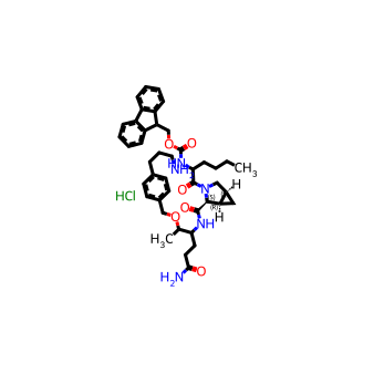 CCCCC(NC(=O)OCC1c2ccccc2-c2ccccc21)C(=O)N1C[C@H]2C[C@H]2[C@H]1C(=O)NC(CCC(N)=O)C(C)OCc1ccc(CCCN)cc1.Cl